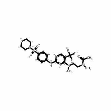 CC(=O)N(C)CCN(C)c1nc(Nc2ccc(S(=O)(=O)N3CCOCC3)cc2)ncc1C(F)(F)F